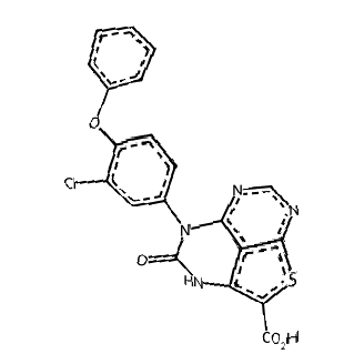 O=C(O)c1sc2ncnc3c2c1NC(=O)N3c1ccc(Oc2ccccc2)c(Cl)c1